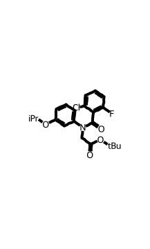 CC(C)Oc1cccc(N(CC(=O)OC(C)(C)C)C(=O)c2c(F)cccc2Cl)c1